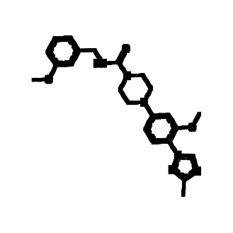 COc1cccc(CNC(=O)N2CCN(c3ccc(-n4cnc(C)n4)c(OC)c3)CC2)c1